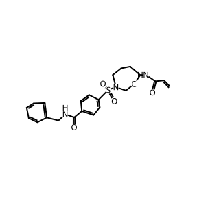 C=CC(=O)NC1CCCN(S(=O)(=O)c2ccc(C(=O)NCc3ccccc3)cc2)CC1